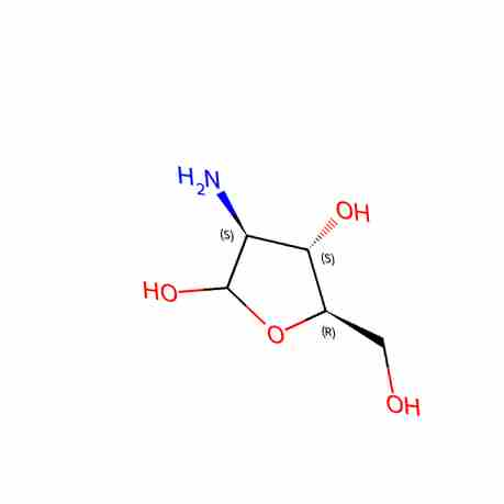 N[C@@H]1C(O)O[C@H](CO)[C@H]1O